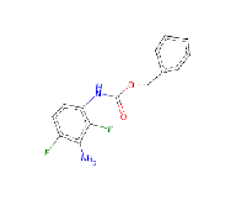 Nc1c(F)ccc(NC(=O)OCc2ccccc2)c1F